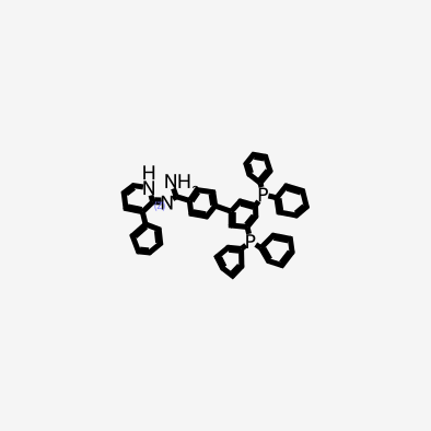 NC(/N=c1\[nH]cccc1-c1ccccc1)c1ccc(-c2cc(P(c3ccccc3)c3ccccc3)cc(P(c3ccccc3)c3ccccc3)c2)cc1